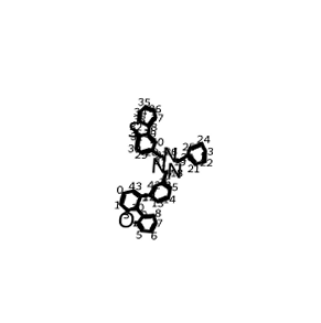 C1=CC2Oc3ccccc3C2C(c2cccc(-c3nc(-c4ccccc4)nc(-c4ccc5sc6ccccc6c5c4)n3)c2)=C1